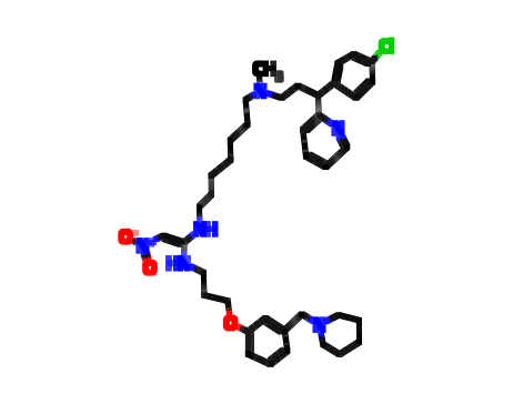 CN(CCCCCCCN/C(=C/[N+](=O)[O-])NCCCOc1cccc(CN2CCCCC2)c1)CCC(c1ccc(Cl)cc1)c1ccccn1